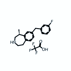 C[C@@H]1CNCCc2ccc(Cc3cccc(F)c3)cc21.O=C(O)C(F)(F)F